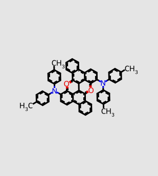 Cc1ccc(N(c2ccc(C)cc2)c2ccc3c4ccccc4c4oc5c(N(c6ccc(C)cc6)c6ccc(C)cc6)ccc6c7ccccc7c7oc2c3c4-c7c56)cc1